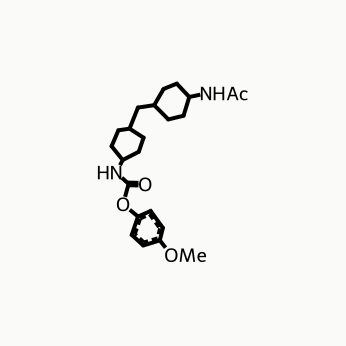 COc1ccc(OC(=O)NC2CCC(CC3CCC(NC(C)=O)CC3)CC2)cc1